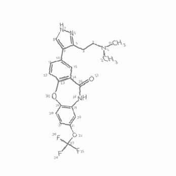 CN(C)CCc1n[nH]cc1-c1ccc2c(c1)C(=O)Nc1cc(OC(F)(F)F)ccc1O2